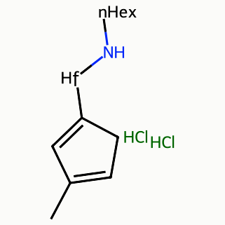 CCCCCC[NH][Hf][C]1=CC(C)=CC1.Cl.Cl